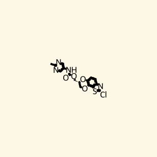 Cc1ncc(NC(=O)OC[C@H]2COc3c(ccc4nc(Cl)sc34)O2)cn1